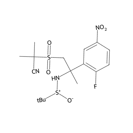 CC(CS(=O)(=O)C(C)(C)C#N)(N[S+]([O-])C(C)(C)C)c1cc([N+](=O)[O-])ccc1F